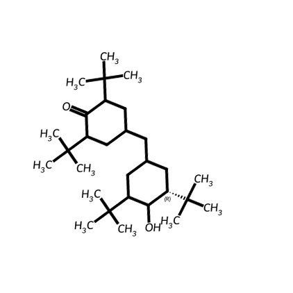 CC(C)(C)C1CC(CC2CC(C(C)(C)C)C(O)[C@@H](C(C)(C)C)C2)CC(C(C)(C)C)C1=O